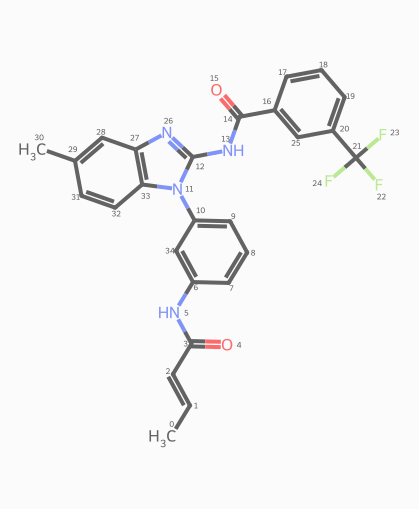 CC=CC(=O)Nc1cccc(-n2c(NC(=O)c3cccc(C(F)(F)F)c3)nc3cc(C)ccc32)c1